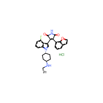 CC(C)CN[C@H]1CC[C@H](n2cc(C3=C(c4cccc5ccoc45)C(=O)NC3=O)c3c(F)cccc32)CC1.Cl